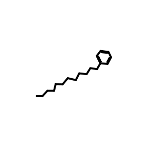 CCCCCCCCCCC[CH]c1ccccc1